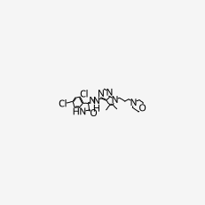 Cc1c(C)n(CCCN2CCOCC2)c2ncnc(N/N=C3\C(=O)Nc4cc(Cl)cc(Cl)c43)c12